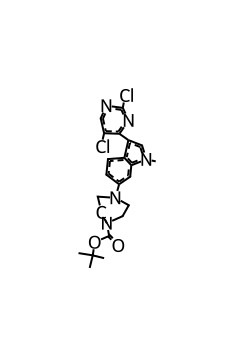 Cn1cc(-c2nc(Cl)ncc2Cl)c2ccc(N3CCN(C(=O)OC(C)(C)C)CC3)cc21